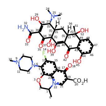 CC1COc2c(N3CCN(C)CC3)c(F)cc3c(=O)c(C(=O)O)cn1c23.CN(C)[C@@H]1C(O)=C(C(N)=O)C(=O)[C@@]2(O)C(O)=C3C(=O)c4c(O)cccc4[C@@](C)(O)[C@H]3C[C@@H]12